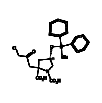 CC(C)(C)[Si](O[C@@H]1CN(C(=O)O)C(CC(=O)CCl)(C(=O)O)C1)(c1ccccc1)c1ccccc1